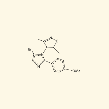 COc1ccc(-c2ncc(Br)n2C2C(C)=NOC2C)cc1